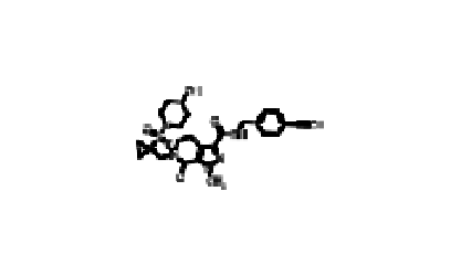 C#Cc1ccc(CNC(=O)c2nn(C)c3c2CCN(CC2(S(=O)(=O)N4CCC(O)CC4)CC2)C3=O)cc1